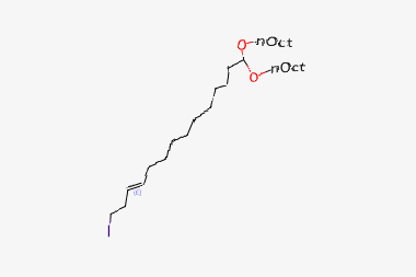 CCCCCCCCOC(CCCCCCCCC/C=C/CCI)OCCCCCCCC